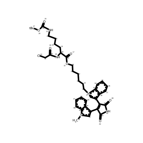 Cn1cc(C2=C(c3cn(CCCCCCOC(=O)C(CCCCNC(=O)OC(C)(C)C)NC(=O)CCl)c4ccccc34)C(=O)NC2=O)c2ccccc21